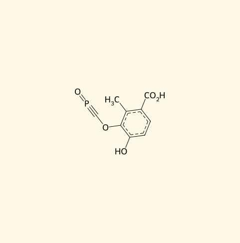 Cc1c(C(=O)O)ccc(O)c1OC#P=O